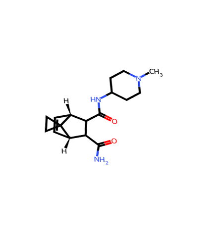 CN1CCC(NC(=O)C2C(C(N)=O)[C@@H]3C=C[C@H]2C32CC2)CC1